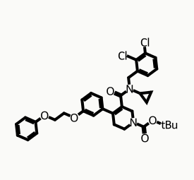 CC(C)(C)OC(=O)N1CCC(c2cccc(OCCOc3ccccc3)c2)=C(C(=O)N(Cc2cccc(Cl)c2Cl)C2CC2)C1